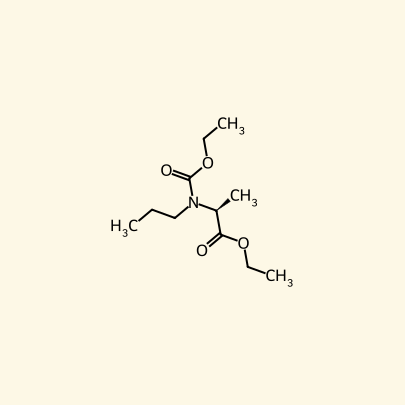 CCCN(C(=O)OCC)[C@@H](C)C(=O)OCC